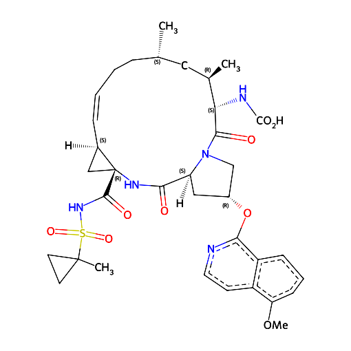 COc1cccc2c(O[C@@H]3C[C@H]4C(=O)N[C@]5(C(=O)NS(=O)(=O)C6(C)CC6)C[C@H]5C=CCC[C@H](C)C[C@@H](C)[C@H](NC(=O)O)C(=O)N4C3)nccc12